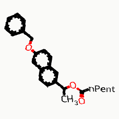 CCCCCC(=O)OC(C)c1ccc2cc(OCc3ccccc3)ccc2c1